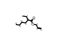 C=CCOC(=O)C(CC)CCCC